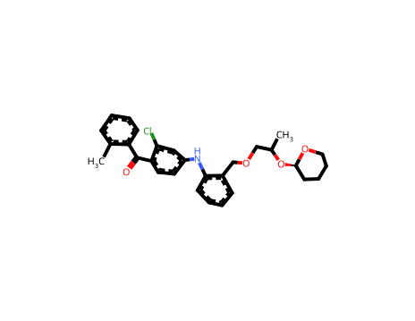 Cc1ccccc1C(=O)c1ccc(Nc2ccccc2COCC(C)O[C@@H]2CCCCO2)cc1Cl